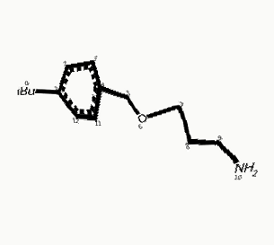 CCC(C)c1ccc(COCCCN)cc1